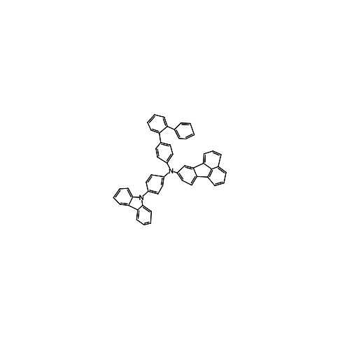 c1ccc(-c2ccccc2-c2ccc(N(c3ccc(-n4c5ccccc5c5ccccc54)cc3)c3ccc4c(c3)-c3cccc5cccc-4c35)cc2)cc1